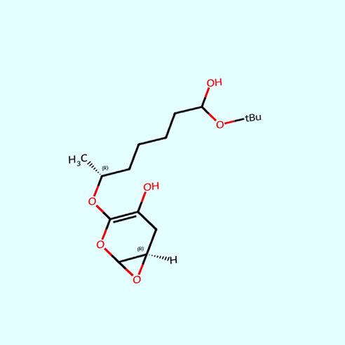 C[C@H](CCCCC(O)OC(C)(C)C)OC1=C(O)C[C@H]2OC2O1